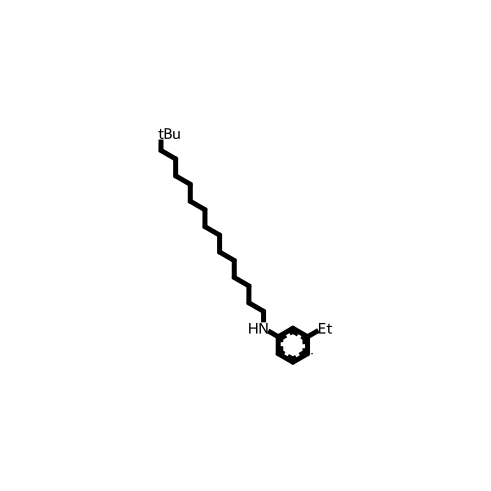 CCc1[c]ccc(NCCCCCCCCCCCCCCC(C)(C)C)c1